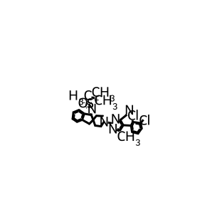 Cc1nc(N2CCC3(CC2)Cc2ccccc2C3=N[S@+]([O-])C(C)(C)C)nc(C#N)c1-c1cccc(Cl)c1Cl